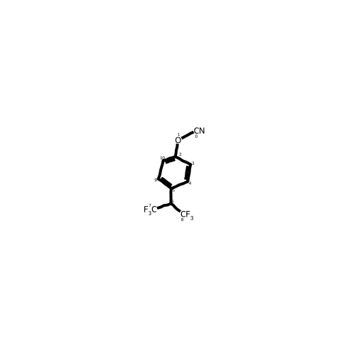 N#COc1ccc(C(C(F)(F)F)C(F)(F)F)cc1